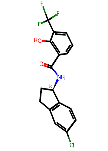 O=C(N[C@@H]1CCc2cc(Cl)ccc21)c1cccc(C(F)(F)F)c1O